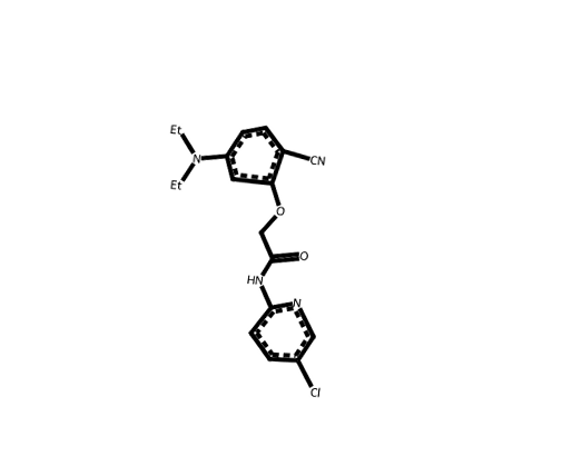 CCN(CC)c1ccc(C#N)c(OCC(=O)Nc2ccc(Cl)cn2)c1